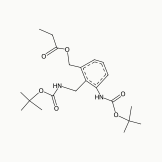 CCC(=O)OCc1cccc(NC(=O)OC(C)(C)C)c1CNC(=O)OC(C)(C)C